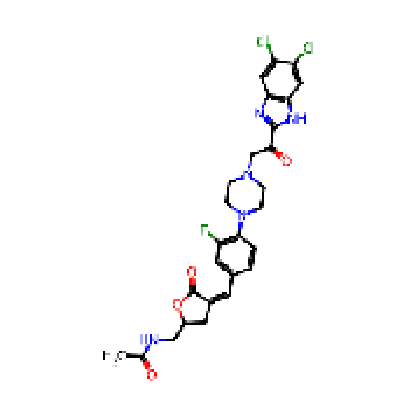 CC(=O)NCC1C/C(=C/c2ccc(N3CCN(CC(=O)c4nc5cc(Cl)c(Cl)cc5[nH]4)CC3)c(F)c2)C(=O)O1